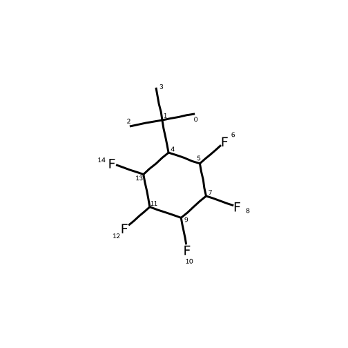 CC(C)(C)C1C(F)C(F)C(F)C(F)C1F